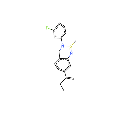 C=C(CC)c1ccc2c(c1)N=S(C)N(c1cccc(F)c1)C2